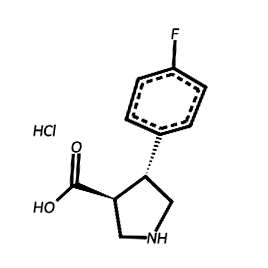 Cl.O=C(O)[C@@H]1CNC[C@H]1c1ccc(F)cc1